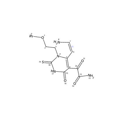 CC(C)OCCn1c(/C=C\N)c(C(=O)C(N)=O)c(=O)[nH]c1=S